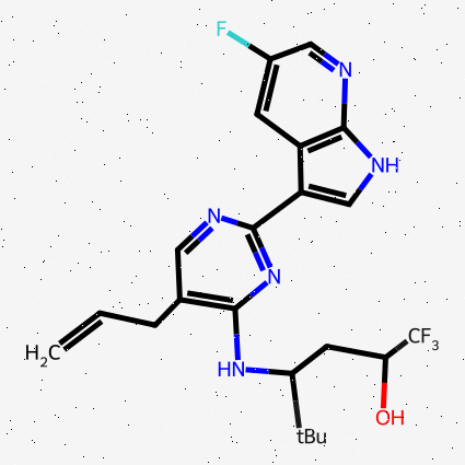 C=CCc1cnc(-c2c[nH]c3ncc(F)cc23)nc1NC(CC(O)C(F)(F)F)C(C)(C)C